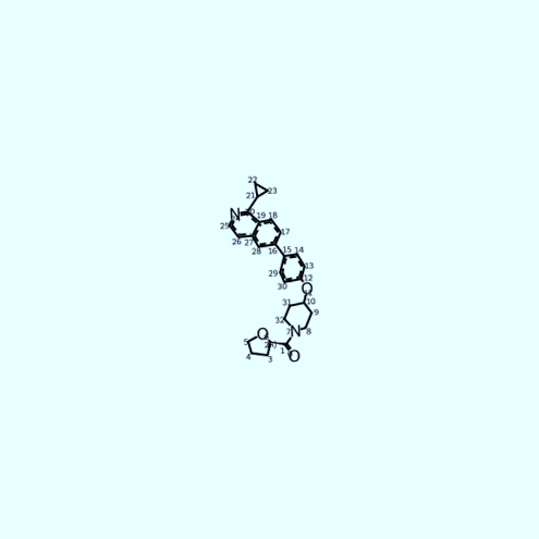 O=C([C@H]1CCCO1)N1CCC(Oc2ccc(-c3ccc4c(C5CC5)nccc4c3)cc2)CC1